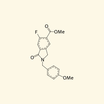 COC(=O)c1cc2c(cc1F)C(=O)N(Cc1ccc(OC)cc1)C2